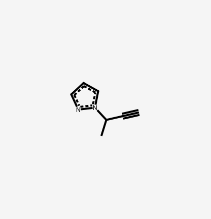 C#CC(C)n1cccn1